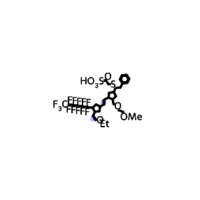 CCO/C=C\C1CC(/C=C/C2CC(C(Cc3ccccc3)SCC(=O)S(=O)(=O)O)CC2COCCOC)CC1C(F)(F)C(F)(F)C(F)(F)C(F)(F)C(F)(F)C(F)(F)F